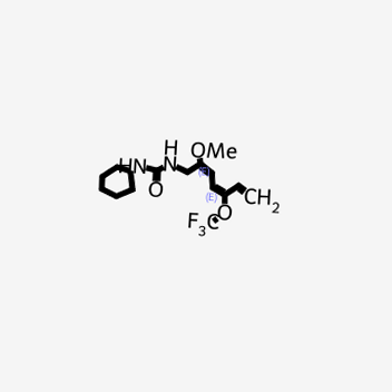 C=C/C(=C\C=C(/CNC(=O)NC1CCCCC1)OC)OC(F)(F)F